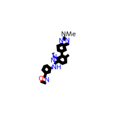 CNc1ncc2cc(-c3c(C)ccc4c(Nc5cccc(-c6ncco6)c5)nn(C)c34)ccc2n1